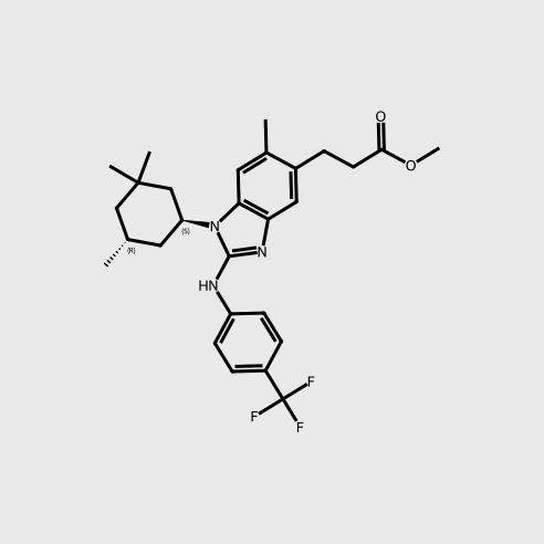 COC(=O)CCc1cc2nc(Nc3ccc(C(F)(F)F)cc3)n([C@H]3C[C@H](C)CC(C)(C)C3)c2cc1C